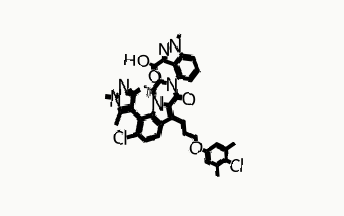 Cc1cc(OCCCc2c3n(c4c(-c5c(C)nn(C)c5C)c(Cl)ccc24)[C@H](C)CN(c2cccc4c2c(C(=O)O)nn4C)C3=O)cc(C)c1Cl